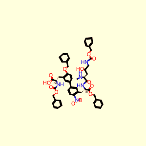 CN[C@@H](C[C@@H](O)CNC(=O)OCc1ccccc1)C(=O)N[C@@H](Cc1cc(-c2ccc(OCc3ccccc3)c(C[C@H](NC(=O)OCc3ccccc3)C(=O)O)c2)ccc1[N+](=O)[O-])C(=O)OCc1ccccc1